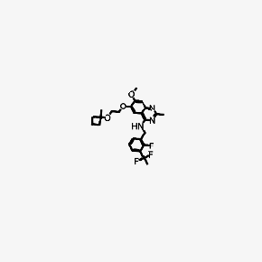 COc1cc2nc(C)nc(NCc3cccc(C(C)(F)F)c3F)c2cc1OCCOC1(C)CCC1